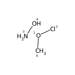 COCl.NO